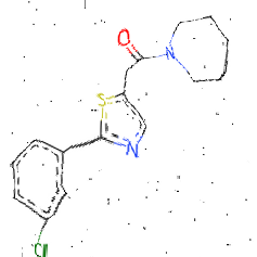 O=C(c1cnc(-c2cccc(Cl)c2)s1)N1CCCCC1